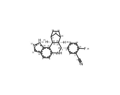 N#Cc1cc([C@@H]2Nc3ccc4cn[nH]c4c3[C@H]3C4CCC(C4)[C@@H]23)ccc1F